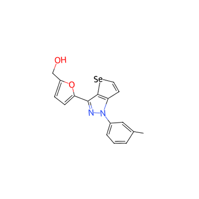 Cc1cccc(-n2nc(-c3ccc(CO)o3)c3[se]ccc32)c1